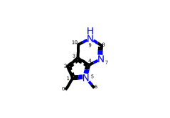 Cc1cc2c(n1C)N=CNC2